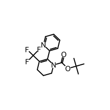 CC(C)(C)OC(=O)N1CCCC(C(F)(F)F)=C1c1ccccn1